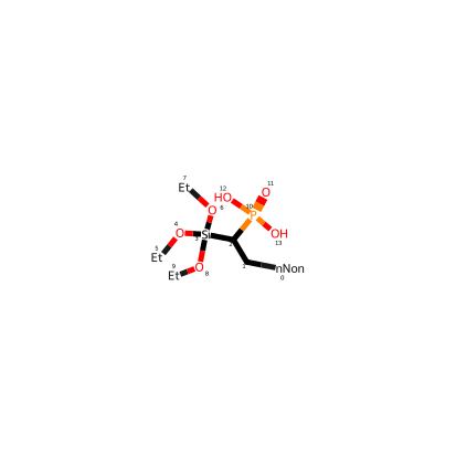 CCCCCCCCCCC([Si](OCC)(OCC)OCC)P(=O)(O)O